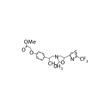 COC(=O)COc1ccc(C(C)CN2CC(c3csc(C(F)(F)F)n3)OC2C)cc1